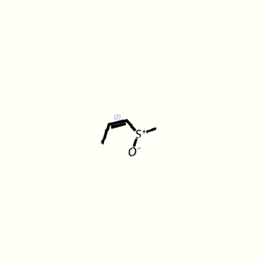 C/C=C\[S+](C)[O-]